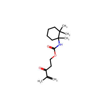 C=C(C)C(=O)CCOC(=O)NC1(C)CCCCC1(C)C